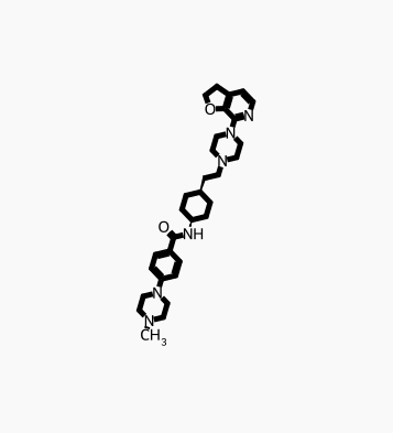 CN1CCN(c2ccc(C(=O)N[C@H]3CC[C@H](CCN4CCN(c5nccc6c5OCC6)CC4)CC3)cc2)CC1